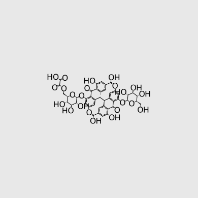 O=C(O)C(=O)OC[C@H]1O[C@@H](Oc2cccc3c2C(=O)c2c(O)cc(C(=O)O)cc2[C@@H]3[C@@H]2c3cc(C(=O)O)cc(O)c3C(=O)c3c(O[C@@H]4O[C@H](CO)[C@@H](O)[C@H](O)[C@H]4O)cccc32)[C@H](O)[C@@H](O)[C@@H]1O